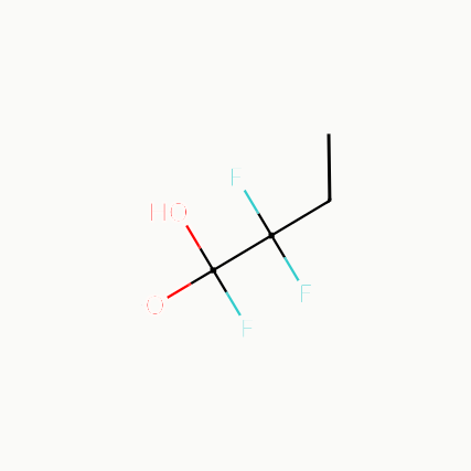 CCC(F)(F)C([O])(O)F